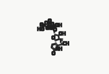 C#Cc1[nH]c(=O)ccc1[C@@H]1O[C@H](COP(=O)(O)OP(=O)(O)OP(=O)(O)O)C(O)[C@@H]1F